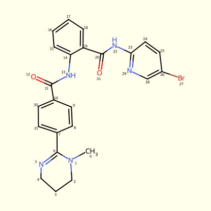 CN1CCCN=C1c1ccc(C(=O)Nc2ccccc2C(=O)Nc2ccc(Br)cn2)cc1